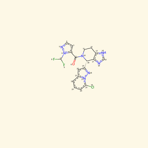 O=C(c1ccnn1C(F)F)N1CCc2[nH]cnc2[C@@H]1c1cc2cccc(Cl)n2n1